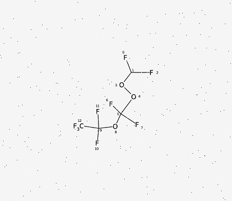 FC(F)OOC(F)(F)OC(F)(F)C(F)(F)F